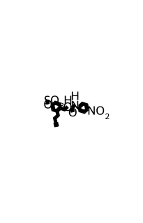 C#CCCc1cc(OS(=O)(=O)O)ccc1COC(=O)Nc1ccc([N+](=O)[O-])cc1